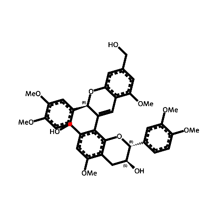 COc1ccc([C@H]2Oc3c(c(OC)cc(CO)c3C3=Cc4c(OC)cc(CO)cc4O[C@@H]3c3ccc(OC)c(OC)c3)C[C@@H]2O)cc1OC